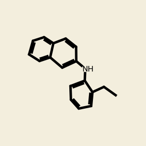 CCc1ccccc1Nc1ccc2ccccc2c1